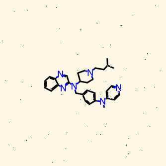 CC(C)CCN1CCC(N(Cc2ccc(N(C)c3ccncc3)cc2)c2cnc3ccccc3n2)CC1